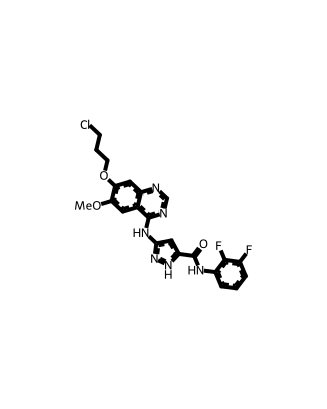 COc1cc2c(Nc3cc(C(=O)Nc4cccc(F)c4F)[nH]n3)ncnc2cc1OCCCCl